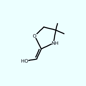 CC1(C)COC(=CO)N1